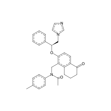 CC(=O)N(Cc1c(O[C@H](Cn2ccnc2)c2ccccc2)ccc2c1CCCC2=O)c1ccc(C)cc1